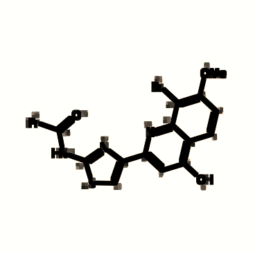 COc1ccc2c(O)cc(-c3csc(NC(=O)C(C)C)n3)nc2c1Br